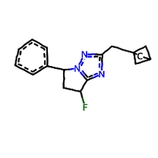 FC1CC(c2ccccc2)n2nc(CC34CC(C3)C4)nc21